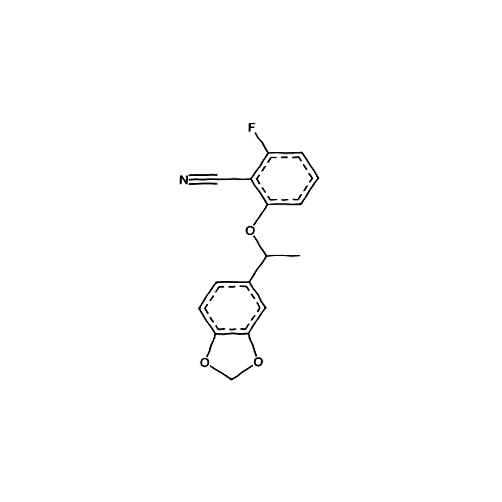 CC(Oc1cccc(F)c1C#N)c1ccc2c(c1)OCO2